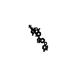 Cc1ccc(Oc2ccc3c(-c4ccc([C@H](C)O)c(-n5nc(C#N)cc5C)n4)cnn3c2)nn1